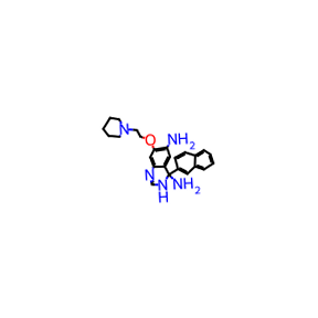 Nc1cc2c(cc1OCCN1CCCCC1)N=CNC2(N)c1ccc2ccccc2c1